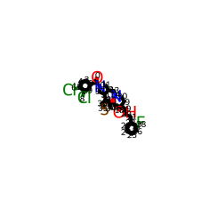 O=C(c1ccc(Cl)c(Cl)c1)N1CC(CN2CCC(O)(CCCc3ccccc3F)CC2)C(c2ccsc2)C1